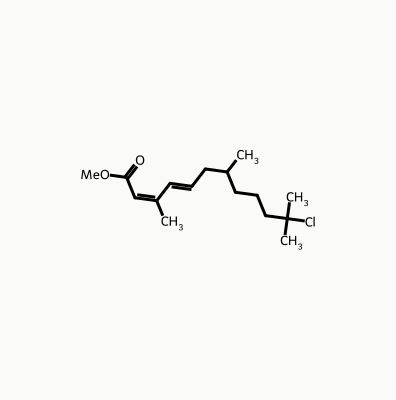 COC(=O)C=C(C)C=CCC(C)CCCC(C)(C)Cl